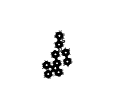 c1ccc(-c2cccc(N(c3cccc(-c4ccc5c(c4)c(-c4ccccc4)c(-c4ccccc4)c4ccccc45)c3)c3ccc4c(c3)sc3ccccc34)c2)cc1